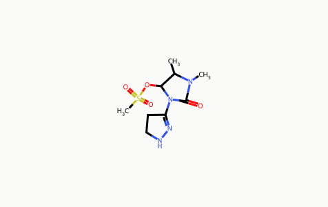 CC1C(OS(C)(=O)=O)N(C2=NNCC2)C(=O)N1C